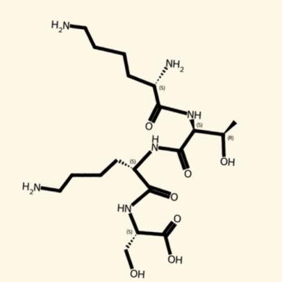 C[C@@H](O)[C@H](NC(=O)[C@@H](N)CCCCN)C(=O)N[C@@H](CCCCN)C(=O)N[C@@H](CO)C(=O)O